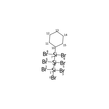 Br[Si](Br)(Br)[Si](Br)(Br)[Si](Br)(Br)C1CCCCC1